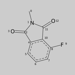 CN1C(=O)c2cccc(F)c2C1=O